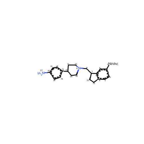 CC(=O)Nc1ccc2c(c1)C(CN1CCC(c3ccc(N)cc3)CC1)CC2